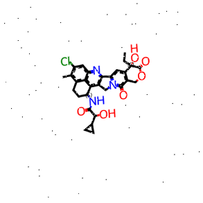 CC[C@@]1(O)C(=O)OCc2c1cc1n(c2=O)Cc2c-1nc1cc(Cl)c(C)c3c1c2[C@@H](NC(=O)C(O)C1CC1)CC3